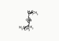 CC(C)=CCCC(C)=CCCC1=CCC2C(=O)C3CC(CCC=C(C)CCC=C(C)C)=CCC3C(=O)C2C1